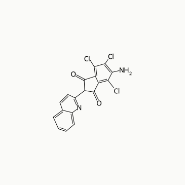 Nc1c(Cl)c(Cl)c2c(c1Cl)C(=O)C(c1ccc3ccccc3n1)C2=O